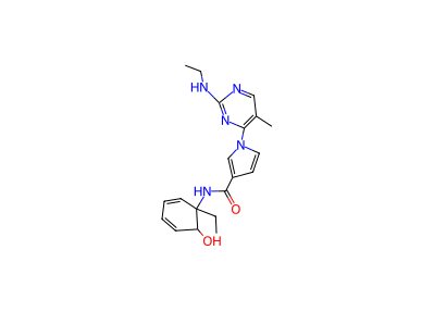 CCNc1ncc(C)c(-n2ccc(C(=O)NC3(CC)C=CC=CC3O)c2)n1